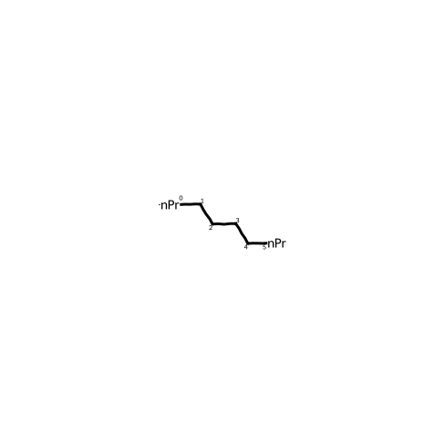 CC[CH]CCCCCCC